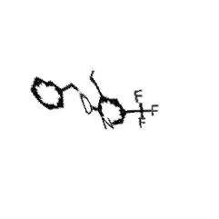 FC(F)(F)c1cnc(OCc2ccccc2)c(I)c1